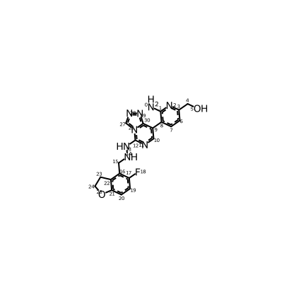 Nc1nc(CO)ccc1-c1cnc(NNCc2c(F)ccc3c2CCO3)n2cnnc12